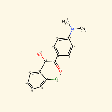 CN(C)c1ccc(C(=O)C(O)c2ccccc2Cl)cc1